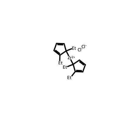 CCC1=CC=C[C]1(CC)[Zr+2][C]1(CC)C=CC=C1CC.[Cl-].[Cl-]